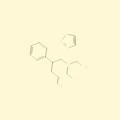 CCN(CC)CC(CCO)c1ccccc1.c1c[nH]nn1